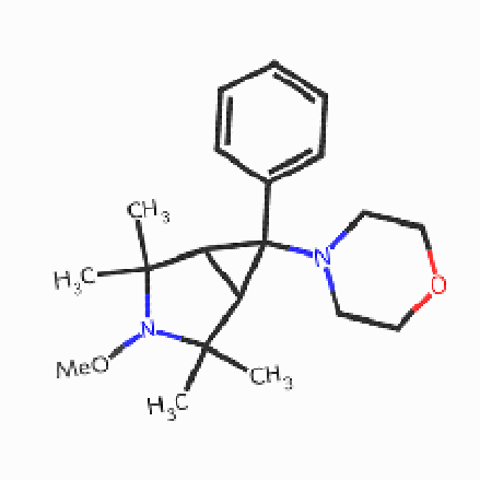 CON1C(C)(C)C2C(C1(C)C)C2(c1ccccc1)N1CCOCC1